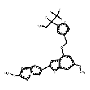 CCC(F)(c1nc(COc2cc(OC)cc3oc(-c4cn5nc(OC)sc5n4)cc23)cs1)C(F)(F)F